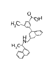 Cc1cc(C(=O)O)cc(C2CC(CN[C@H](C)c3cccc4ccccc34)Cc3ccccc32)c1